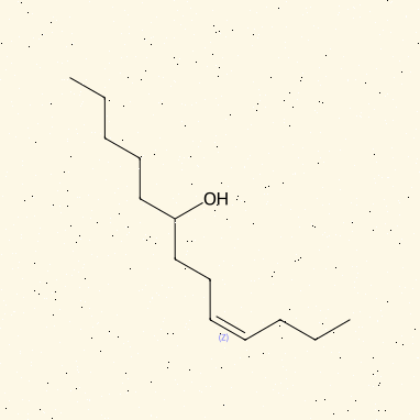 CCC/C=C\CCC(O)CCCCC